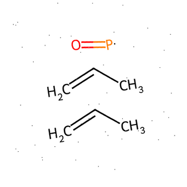 C=CC.C=CC.O=[P]